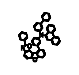 c1ccc(-c2cccc(N(c3cccc(-c4cccc5oc6ccc7nc(-c8ccccc8)oc7c6c45)c3)c3cc4ccccc4c4ccccc34)c2)cc1